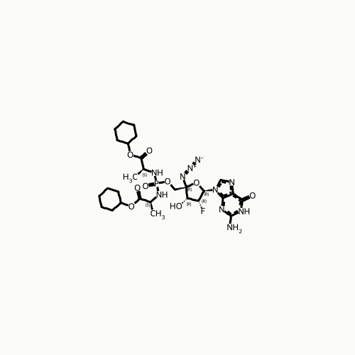 C[C@H](NP(=O)(N[C@@H](C)C(=O)OC1CCCCC1)OC[C@@]1(N=[N+]=[N-])O[C@@H](n2cnc3c(=O)[nH]c(N)nc32)[C@H](F)[C@@H]1O)C(=O)OC1CCCCC1